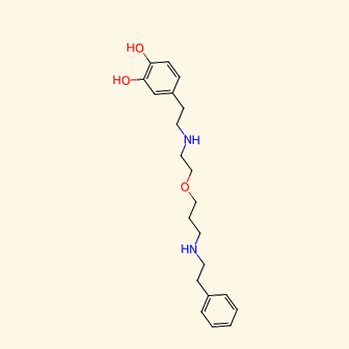 Oc1ccc(CCNCCOCCCNCCc2ccccc2)cc1O